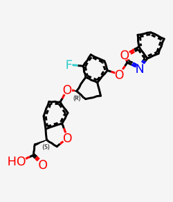 O=C(O)C[C@@H]1COc2cc(O[C@@H]3CCc4c(Oc5nc6ccccc6o5)ccc(F)c43)ccc21